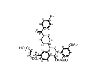 COc1ccc(OC)c(N(CCN2CCC(C(=O)c3ccc(F)cc3)CC2)C(=O)c2ccc(N)cc2)c1.O=C(O)/C=C/C(=O)O